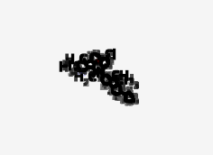 C=C(C1=C(/C=C\C)C(C)(C)c2ccccc21)N(c1ccc(Cl)cc1)c1ccc2c(c1)C(C)(C)c1cc(-c3ccccc3)ccc1-2